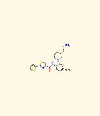 N#Cc1ccc(NC(=O)c2csc(-c3cccs3)n2)c(N2CCCC(CCN)C2)c1